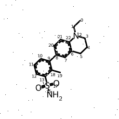 CCN1CCCc2cc(-c3cccc(S(N)(=O)=O)c3C)ccc21